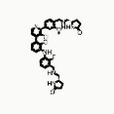 COc1cc(-c2nccc(-c3cccc(Nc4cccc(CNC[C@H]5CCC(=O)N5)c4F)c3Cl)c2Cl)ccc1CNC[C@@H]1CCC(=O)N1